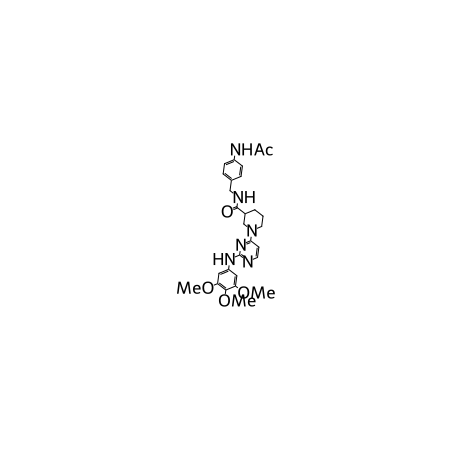 COc1cc(Nc2nccc(N3CCCC(C(=O)NCc4ccc(NC(C)=O)cc4)C3)n2)cc(OC)c1OC